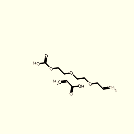 C=CC(=O)O.C=CCOCCOCCOC(=O)O